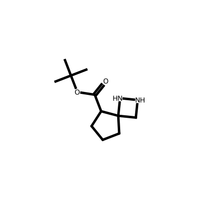 CC(C)(C)OC(=O)C1CCCC12CNN2